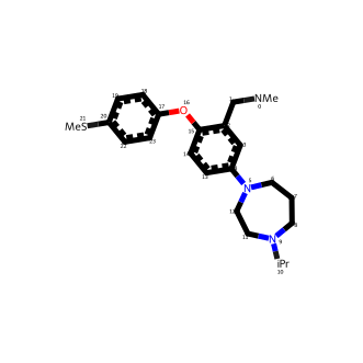 CNCc1cc(N2CCCN(C(C)C)CC2)ccc1Oc1ccc(SC)cc1